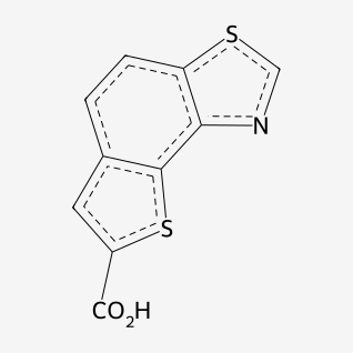 O=C(O)c1cc2ccc3scnc3c2s1